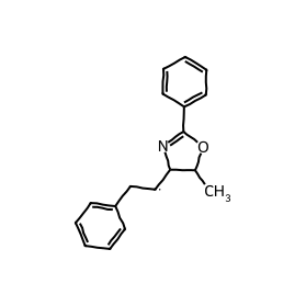 CC1OC(c2ccccc2)=NC1[CH]Cc1ccccc1